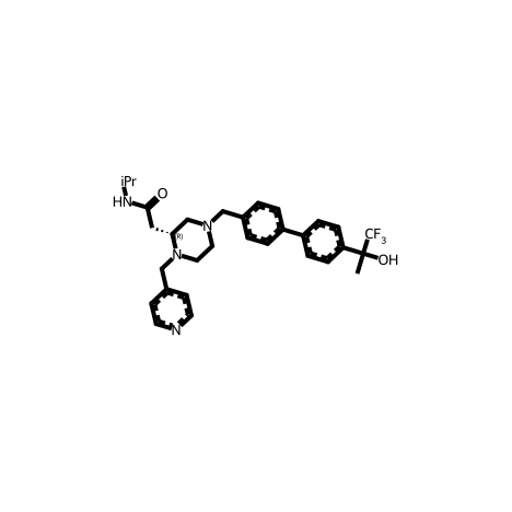 CC(C)NC(=O)C[C@@H]1CN(Cc2ccc(-c3ccc(C(C)(O)C(F)(F)F)cc3)cc2)CCN1Cc1ccncc1